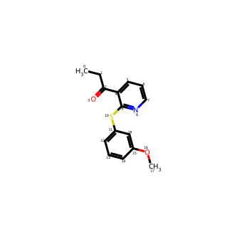 CCC(=O)c1cccnc1Sc1cccc(OC)c1